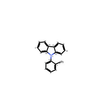 CC(C)c1ccccc1-n1c2ccccc2c2ccccc21